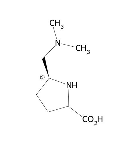 CN(C)C[C@@H]1CCC(C(=O)O)N1